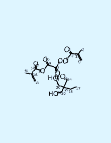 C=C(C)C(=O)OOC(=O)C(=O)OC(=O)C(=C)C.CCC(CO)(CO)CO